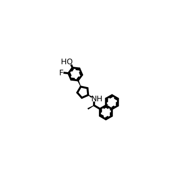 C[C@@H](N[C@H]1CC[C@@H](c2ccc(O)c(F)c2)C1)c1cccc2ccccc12